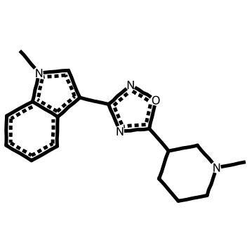 CN1CCCC(c2nc(-c3cn(C)c4ccccc34)no2)C1